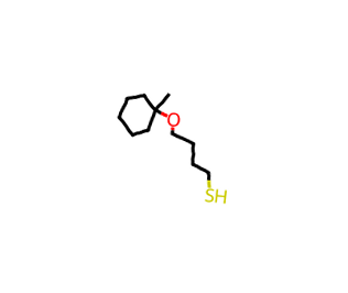 CC1(OCCCCS)CCCCC1